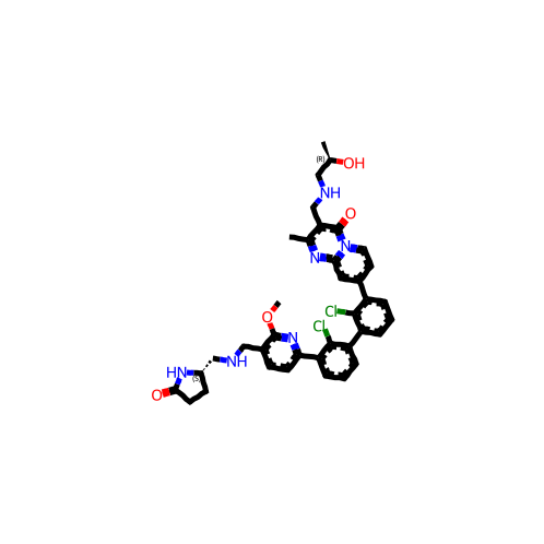 COc1nc(-c2cccc(-c3cccc(-c4ccn5c(=O)c(CNC[C@@H](C)O)c(C)nc5c4)c3Cl)c2Cl)ccc1CNC[C@@H]1CCC(=O)N1